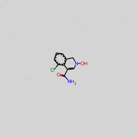 NC(=O)C1=CN(O)Cc2cccc(Cl)c21